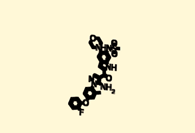 Cc1cc(Oc2ccccc2F)ccc1-n1ncc(C(=O)c2cc3cc(N4CCOCC4)c(NS(C)(=O)=O)cc3[nH]2)c1N